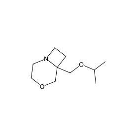 CC(C)OCC12CCN1CCOC2